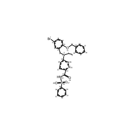 CCN(Cc1cc(Br)ccc1OCc1ccccc1)c1ccc(C(=O)NS(=O)(=O)c2ccccc2)nn1